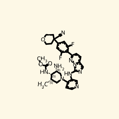 COC(=O)N[C@@H]1[C@H](N)CN(c2ccncc2Nc2ncc3ccc(-c4c(F)cc(C5(C#N)CCOCC5)cc4F)nn23)C[C@@H]1C